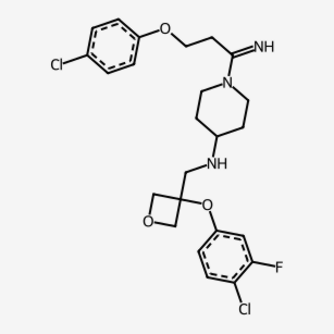 N=C(CCOc1ccc(Cl)cc1)N1CCC(NCC2(Oc3ccc(Cl)c(F)c3)COC2)CC1